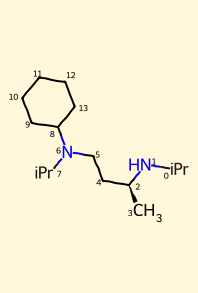 CC(C)N[C@@H](C)CCN(C(C)C)C1CCCCC1